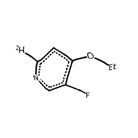 [2H]c1cc(OCC)c(F)cn1